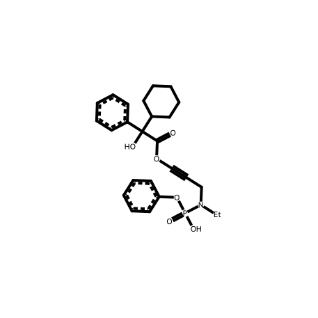 CCN(CC#COC(=O)C(O)(c1ccccc1)C1CCCCC1)P(=O)(O)Oc1ccccc1